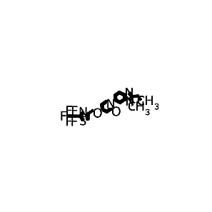 CCc1nc2ccc(-n3ccc(OCc4csc(C(F)(F)C(F)(F)F)n4)cc3=O)cc2n1C